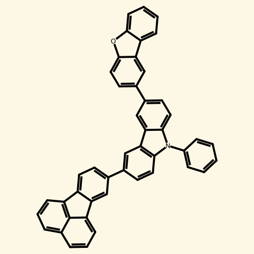 c1ccc(-n2c3ccc(-c4ccc5c(c4)-c4cccc6cccc-5c46)cc3c3cc(-c4ccc5oc6ccccc6c5c4)ccc32)cc1